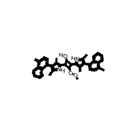 COOC1C(c2[nH]c(C)c(-c3ccc(C)c4ccccc34)c2C)C(O)C1c1[nH]c(C)c(-c2ccc(C)c3ccccc23)c1C